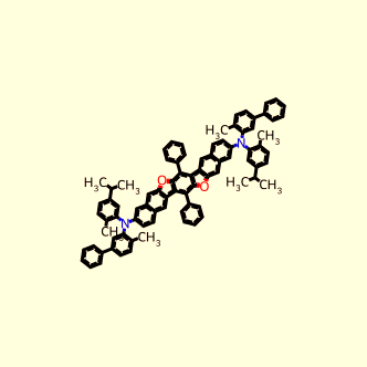 Cc1ccc(-c2ccccc2)cc1N(c1ccc2cc3c(cc2c1)oc1c(-c2ccccc2)c2c(oc4cc5cc(N(c6cc(-c7ccccc7)ccc6C)c6cc(C(C)C)ccc6C)ccc5cc42)c(-c2ccccc2)c13)c1cc(C(C)C)ccc1C